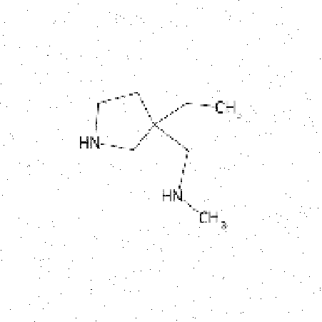 CCC1(CNC)CCNC1